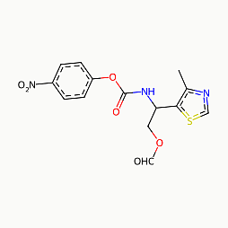 Cc1ncsc1C(COC=O)NC(=O)Oc1ccc([N+](=O)[O-])cc1